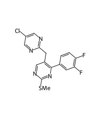 CSc1ncc(Cc2ncc(Cl)cn2)c(-c2ccc(F)c(F)c2)n1